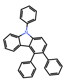 [c]1ccc2c(c1)c1c(-c3ccccc3)c(-c3ccccc3)ccc1n2-c1ccccc1